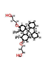 CC(C)c1cc(C2(c3ccc(OCCCO)c(C(C)C)c3)c3ccccc3-c3ccccc32)ccc1OCCCO